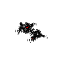 CCCCNC(=O)CNC(=O)[C@H](Cc1c[nH]c2ccccc12)NC(=O)[C@H](CCSC)NC(=O)CNC(=O)CNC(=O)[C@H](Cc1ccc(O)cc1)NC(=O)[C@H](Cc1ccccc1)NC(=O)[C@H](CCCNC(=N)N)NC(=O)CNC(=O)CNC(=O)[C@H](CCN=O)NC(=O)CNC(=O)C(NC(=O)[C@H](CCCCN)NC(=O)C(NC(=O)CNC(=O)[C@H](CC(C)C)NC(=O)CN)C(C)C)C(C)C